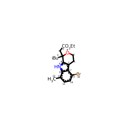 CCOC(=O)CC1(C(C)CC)OCCc2c1[nH]c1c(C)ccc(Br)c21